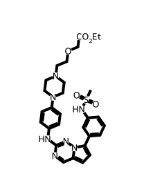 CCOC(=O)COCCN1CCN(c2ccc(Nc3ncc4ccc(-c5cccc(NS(C)(=O)=O)c5)n4n3)cc2)CC1